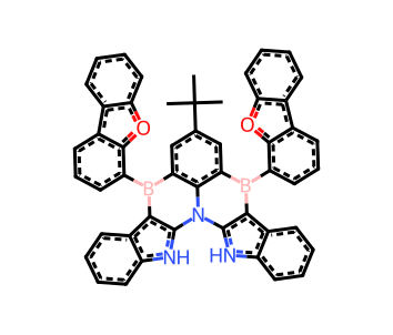 CC(C)(C)c1cc2c3c(c1)B(c1cccc4c1oc1ccccc14)c1c([nH]c4ccccc14)N3c1[nH]c3ccccc3c1B2c1cccc2c1oc1ccccc12